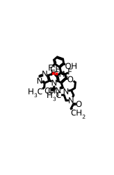 C=CC(=O)N1CC(C)N2c3nc(=O)n(-c4c(C(C)C)ncnc4C(C)C)c4c(F)c(-c5c(O)cccc5F)c(F)c(c34)OCCC2C1